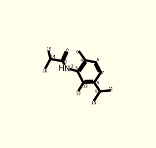 C=C(Nc1c(C)ccc(C(C)C)c1C)C(C)C